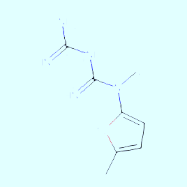 Cc1ccc(N(C)C(=N)NC(=N)N)o1